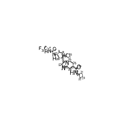 Cl.O=C(NCC(F)(F)F)Nc1cccc(-c2cnc3cc(C(=O)NC4CCC4)ccn23)c1